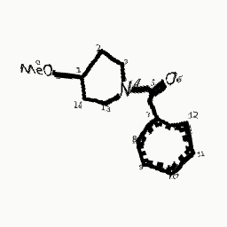 COC1CCN(C(=O)c2ccccc2)CC1